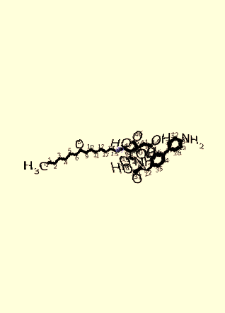 CCCCCCCC(=O)CCCCCC/C=C/[C@H](C(=O)N[C@@H](Cc1ccc(-c2ccc(N)cc2)cc1)C(=O)O)[C@@](O)(CC(=O)O)C(=O)O